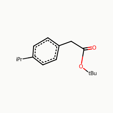 CC(C)c1ccc(CC(=O)OC(C)(C)C)cc1